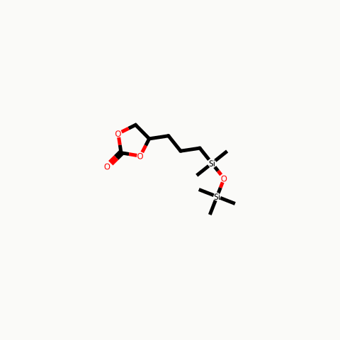 C[Si](C)(C)O[Si](C)(C)CCCC1COC(=O)O1